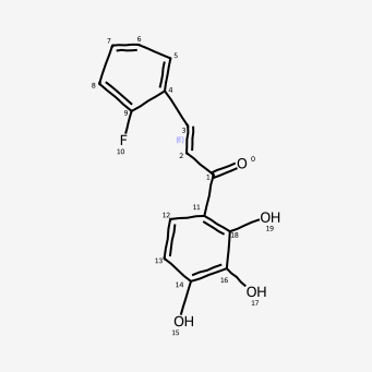 O=C(/C=C/c1ccccc1F)c1ccc(O)c(O)c1O